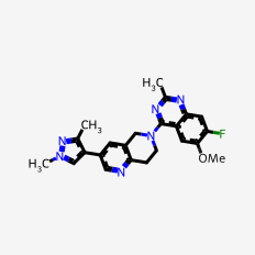 COc1cc2c(N3CCc4ncc(-c5cn(C)nc5C)cc4C3)nc(C)nc2cc1F